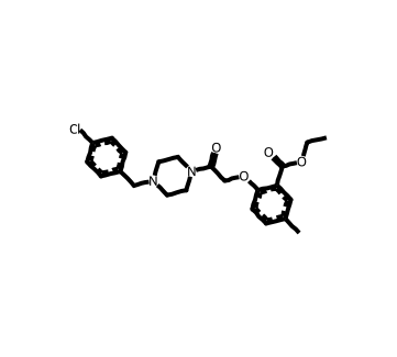 CCOC(=O)c1cc(C)ccc1OCC(=O)N1CCN(Cc2ccc(Cl)cc2)CC1